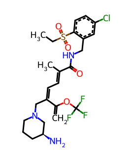 C=C(OC(F)(F)F)/C(=C\C=C(/C)C(=O)NCc1cc(Cl)ccc1S(=O)(=O)CC)CN1CCC[C@H](N)C1